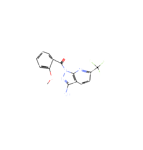 COc1ccccc1C(=O)n1nc(N)c2ccc(C(F)(F)F)nc21